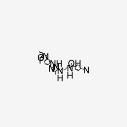 C=CC(=O)N(C)c1cc(Nc2ncc(C)c(NCCCNC(O)c3ccc(C#N)cc3)n2)ccc1F